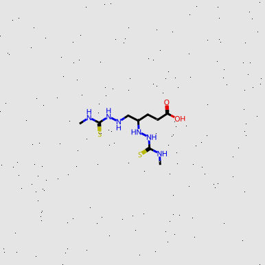 CNC(=S)NNCC(CCC(=O)O)NNC(=S)NC